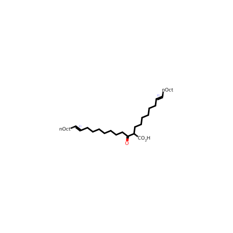 CCCCCCCC/C=C/CCCCCCCC(=O)C(CCCCCC/C=C/CCCCCCCC)C(=O)O